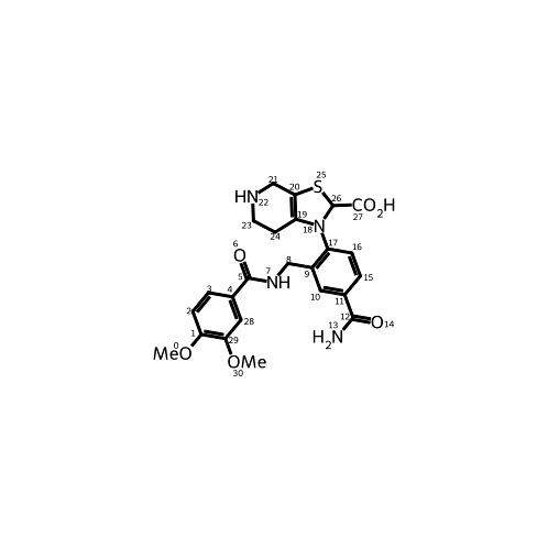 COc1ccc(C(=O)NCc2cc(C(N)=O)ccc2N2C3=C(CNCC3)SC2C(=O)O)cc1OC